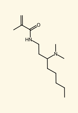 C=C(C)C(=O)NCCC(CCCCC)N(C)C